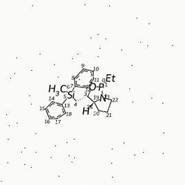 CCP1O[C@@H](C[Si](C)(c2ccccc2)c2ccccc2)[C@H]2CCCN21